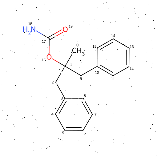 CC(Cc1ccccc1)(Cc1ccccc1)OC(N)=O